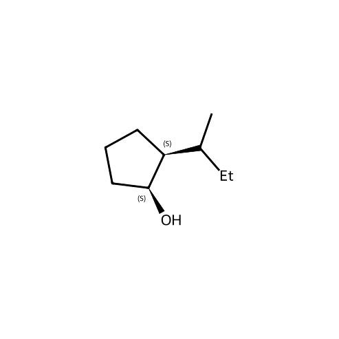 CCC(C)[C@@H]1CCC[C@@H]1O